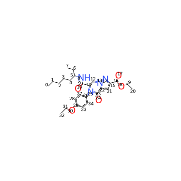 CCCCCC(CC)NC(=O)c1cn2nc(C(=O)OCC)cc2c(=O)n1-c1ccc(OCC)cc1